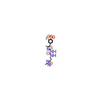 Cc1noc(CCNC(=O)Nc2nc(C)c(-c3ccc(S(C)(=O)=O)c(F)c3)s2)n1